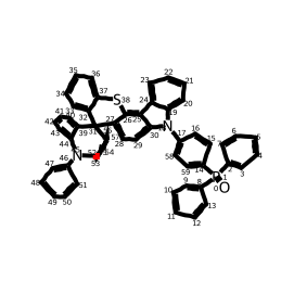 O=P(c1ccccc1)(c1ccccc1)c1ccc(-n2c3ccccc3c3c4c(ccc32)C2(c3ccccc3S4)c3ccccc3N(c3ccccc3)c3ccccc32)cc1